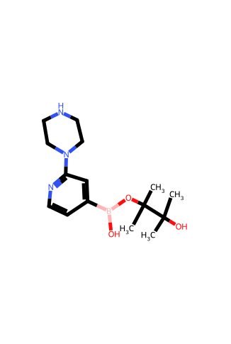 CC(C)(O)C(C)(C)OB(O)c1ccnc(N2CCNCC2)c1